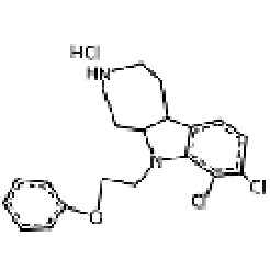 Cl.Clc1ccc2c(c1Cl)N(CCOc1ccccc1)C1CCNCCC21